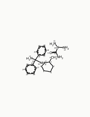 CC1CCCCC1.NC(=O)N(N)N.NC(N)(c1ccccc1)c1ccccc1